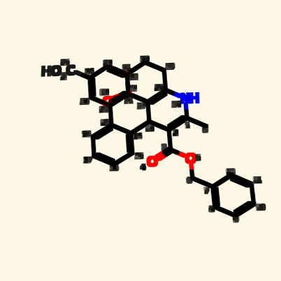 CC1=C(C(=O)OCc2ccccc2)C(c2ccccc2-c2cccc(C(=O)O)c2)C2=C(CCCC2=O)N1